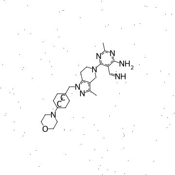 Cc1nc(N)c(C=N)c(N2CCc3c(c(C)nn3CC34CCC(N5CCOCC5)(CC3)CC4)C2)n1